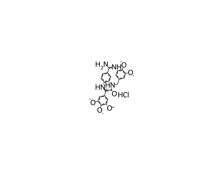 COc1ccc(CNC(=O)[C@H](Nc2ccc(C(=N)N)cc2)c2cc(OC)c(OC)c(OC)c2)cc1OC.Cl